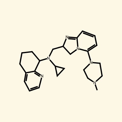 CN1CCN(C2=CC=CC3=NC(CN(C4CC4)C4CCCc5cccnc54)CN23)CC1